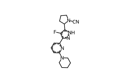 N#CN1CCCC1c1[nH]nc(-c2cccc(N3CCCCC3)n2)c1F